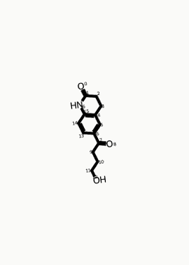 O=C1CCc2cc(C(=O)CCCO)ccc2N1